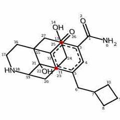 NC(=O)c1cc(CC2CCC2)c2c(c1O)C13CCNC(C2)C1(O)CCC(=O)C3